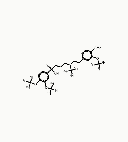 [2H]C([2H])([2H])Oc1cc(CCN(CCCC(C#N)(c2ccc(OC([2H])([2H])[2H])c(OC([2H])([2H])[2H])c2)C(C)C)C([2H])([2H])[2H])ccc1OC